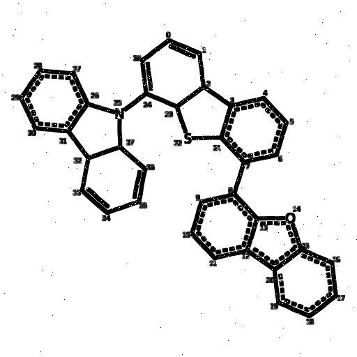 C1=CC2c3cccc(-c4cccc5c4oc4ccccc45)c3SC2C(N2c3ccccc3C3C=CC=CC32)=C1